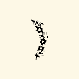 CCOP(=O)(Cc1ccc(NC(=O)Nc2ccc(N3CCN(C(=O)OC(C)(C)C)CC3)cc2)cc1)OCC